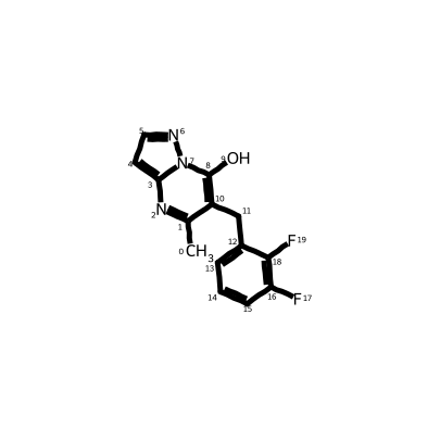 Cc1nc2ccnn2c(O)c1Cc1cccc(F)c1F